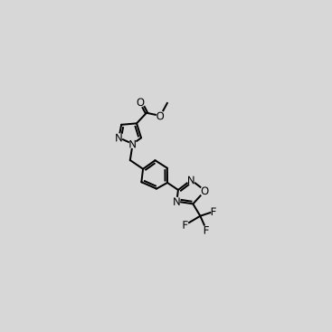 COC(=O)c1cnn(Cc2ccc(-c3noc(C(F)(F)F)n3)cc2)c1